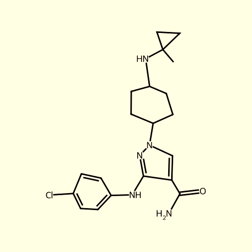 CC1(NC2CCC(n3cc(C(N)=O)c(Nc4ccc(Cl)cc4)n3)CC2)CC1